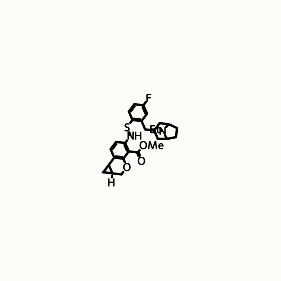 CCN1C2CCC1CC(Cc1cc(F)ccc1SNc1ccc3c(c1C(=O)OC)OC[C@@H]1CC31)C2